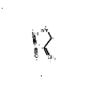 C=CCCCC.N=C=O